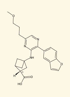 COCCCc1cnc(-c2ccc3occc3c2)c(NC23CC(C2)[C@@H](C(=O)O)C3)n1